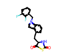 O=C1NC(Cc2cccc3c2ccn3Cc2cccc(F)c2F)C(=O)S1